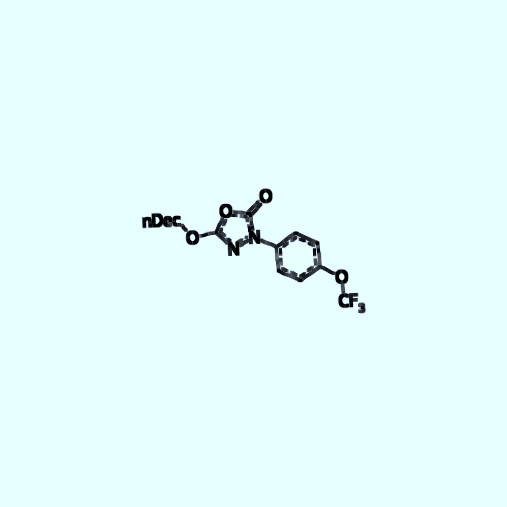 CCCCCCCCCCOc1nn(-c2ccc(OC(F)(F)F)cc2)c(=O)o1